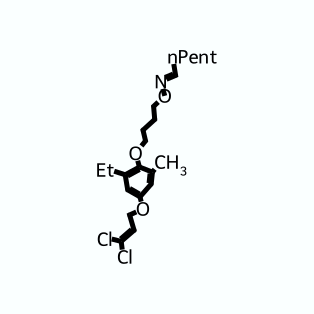 CCCCCC=NOCCCCOc1c(C)cc(OCC=C(Cl)Cl)cc1CC